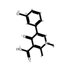 Cc1c(C(=O)O)c(=O)c(-c2cccc(Cl)c2)cn1C